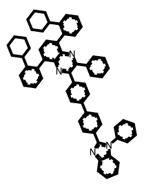 c1ccc(-c2nc3c(-c4ccccc4C4CCCCC4)ccc(-c4ccccc4C4CCCCC4)c3nc2-c2ccc(-c3ccc(-c4nc5ccccc5n4-c4ccccc4)cc3)cc2)cc1